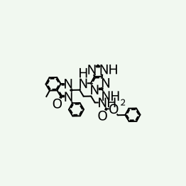 Cc1cccc2nc(C(CCCNC(=O)OCc3ccccc3)Nc3nc(N)nc4[nH]cnc34)n(-c3ccccc3)c(=O)c12